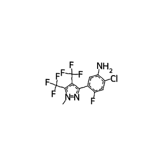 Cn1nc(-c2cc(N)c(Cl)cc2F)c(C(F)(F)F)c1C(F)(F)F